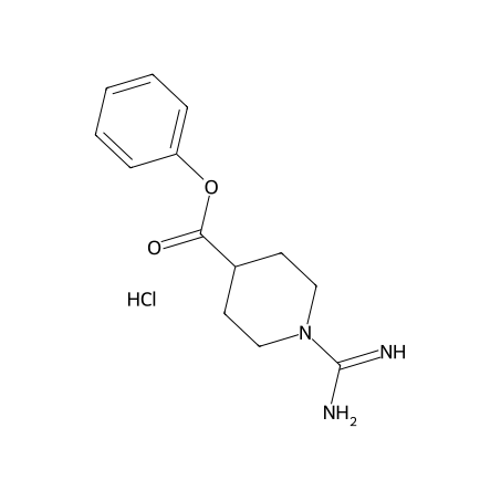 Cl.N=C(N)N1CCC(C(=O)Oc2ccccc2)CC1